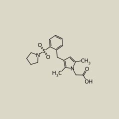 Cc1cc(Cc2ccccc2S(=O)(=O)N2CCCC2)c(C)n1CC(=O)O